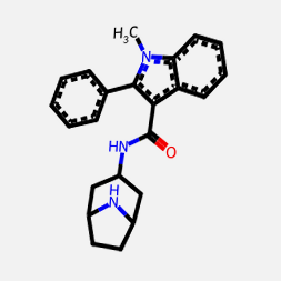 Cn1c(-c2ccccc2)c(C(=O)NC2CC3CCC(C2)N3)c2ccccc21